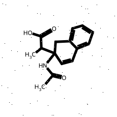 CC(=O)NC1(C(C)C(=O)O)C=Cc2ccccc2C1